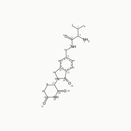 CC(C)C(N)C(=O)NCc1ccc2c(c1)CN(C1CCC(=O)NC1=O)C2=O